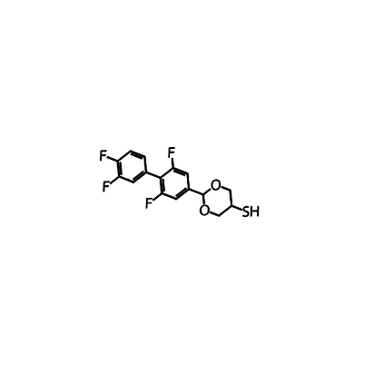 Fc1ccc(-c2c(F)cc(C3OCC(S)CO3)cc2F)cc1F